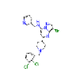 Clc1cccc(CN2CCC(c3cc(NCc4cccnc4)n4ncc(Br)c4n3)CC2)c1Cl